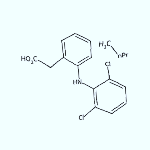 CCCC.O=C(O)Cc1ccccc1Nc1c(Cl)cccc1Cl